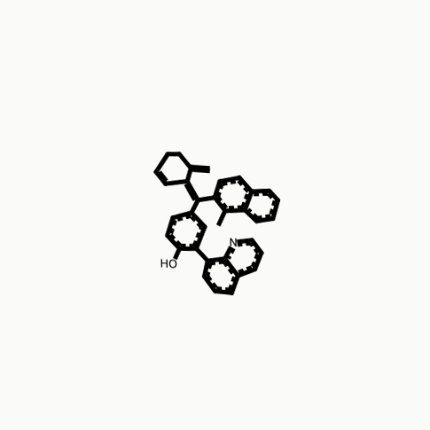 C=C1CCC=C/C1=C(\c1ccc(O)c(-c2cccc3cccnc23)c1)c1ccc2ccccc2c1C